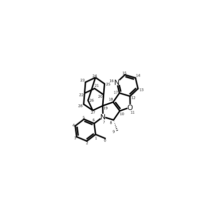 Cc1ccccc1N1[C@@H](C)c2oc3cccnc3c2C12C1CC3CC(C1)CC2C3